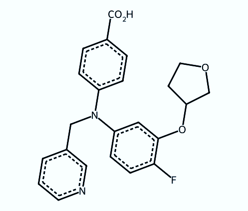 O=C(O)c1ccc(N(Cc2cccnc2)c2ccc(F)c(OC3CCOC3)c2)cc1